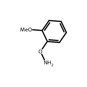 COc1ccccc1ON